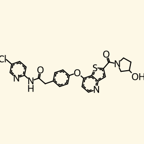 O=C(Cc1ccc(Oc2ccnc3cc(C(=O)N4CCC(O)C4)sc23)cc1)Nc1ccc(Cl)cn1